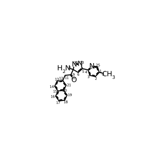 Cc1ccc(C2=CC(N)(C(=O)Cc3ccc4ccccc4c3)N=N2)nc1